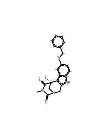 CN1C(=O)[C@@H]2CN(Cc3[nH]c4ccc(OCc5ccccc5)cc4c32)C1=O